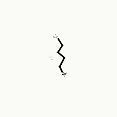 CCCCCC[CH2][Zn+].[Cl-]